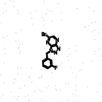 Fc1cccc(Cn2nnc3ncc(Br)nc32)c1